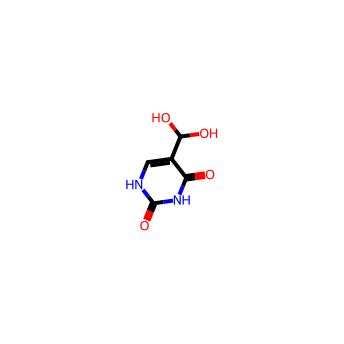 O=c1[nH]cc(C(O)O)c(=O)[nH]1